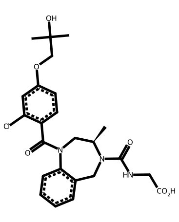 C[C@@H]1CN(C(=O)c2ccc(OCC(C)(C)O)cc2Cl)c2ccccc2CN1C(=O)NCC(=O)O